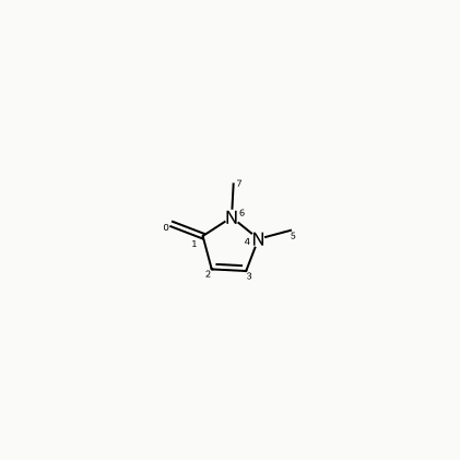 C=C1C=CN(C)N1C